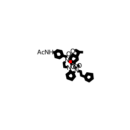 CC(=O)Nc1ccc(C(=O)N2CCN(c3ccccc3N(CCc3ccccc3)S(=O)(=O)c3ccc4occ(C)c4c3)CC2)cc1